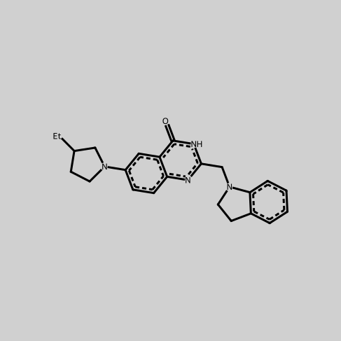 CCC1CCN(c2ccc3nc(CN4CCc5ccccc54)[nH]c(=O)c3c2)C1